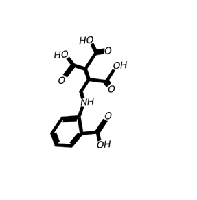 O=C(O)c1ccccc1NCC(C(=O)O)C(C(=O)O)C(=O)O